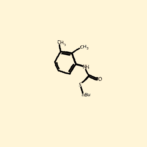 CCCCSC(=O)Nc1cccc(C)c1C